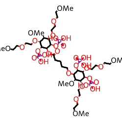 COCCOCCO[C@@H]1[C@@H](OP(=O)(O)O)[C@H](OCCOCCOC)[C@@H](OC)[C@@H](OCCCCC(=O)O[C@@H]2[C@H](OP(=O)(O)O)[C@@H](OCCOCCOC)[C@H](OC)[C@@H](OCCOCCOC)[C@@H]2OP(=O)(O)O)[C@H]1OP(=O)(O)O